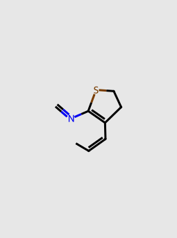 C=NC1=C(/C=C\C)CCS1